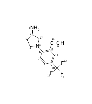 Cl.N[C@@H]1CCN(c2ccc(C(F)(F)F)cc2Cl)C1